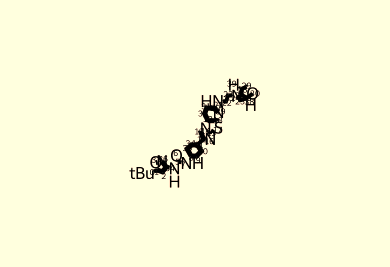 CC(C)(C)c1cc(NC(=O)Nc2ccc(-c3cn4c(n3)sc3nc(NCCN5C[C@@H]6C[C@H]5CO6)ccc34)cc2)no1